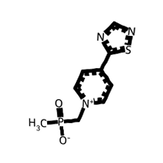 CP(=O)([O-])C[n+]1ccc(-c2ncns2)cc1